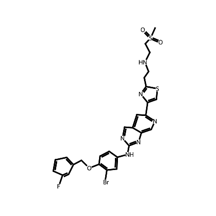 CS(=O)(=O)CCNCCc1nc(-c2cc3cnc(Nc4ccc(OCc5cccc(F)c5)c(Br)c4)nc3cn2)cs1